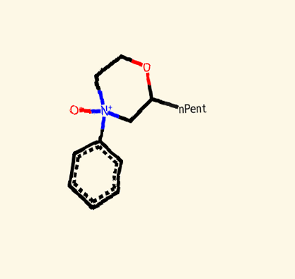 CCCCCC1C[N+]([O-])(c2ccccc2)CCO1